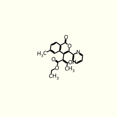 CCOC(=O)/C(=C(\C)O)c1c(-c2ccccn2)oc(=O)c2ccc(C)cc12